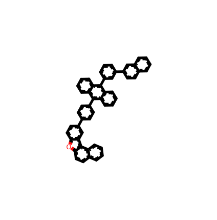 c1cc(-c2ccc3ccccc3c2)cc(-c2c3ccccc3c(-c3ccc(-c4ccc5oc6ccc7ccccc7c6c5c4)cc3)c3ccccc23)c1